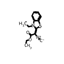 [C-]#[N+]/C(C(=O)OCC)=C1\Sc2ccccc2N1CC